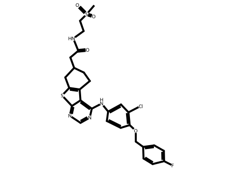 CS(=O)(=O)CCNC(=O)CC1CCc2c(sc3ncnc(Nc4ccc(OCc5ccc(F)cc5)c(Cl)c4)c23)C1